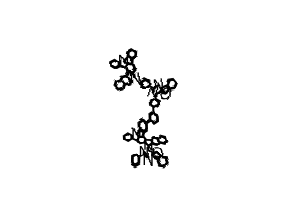 c1ccc(-c2nc(-n3c4cc5ccccc5cc4c4c5c6cc(-c7cccc(-c8ccc(-c9nc(-c%10ccc(-n%11c%12cc%13ccccc%13cc%12c%12c%13c%14ccccc%14n%14c%15ccccc%15c(cc%12%11)c%13%14)cc%10)nc%10c9oc9ccccc9%10)cc8)c7)ccc6n6c7ccccc7c(cc43)c56)c3oc4ccccc4c3n2)cc1